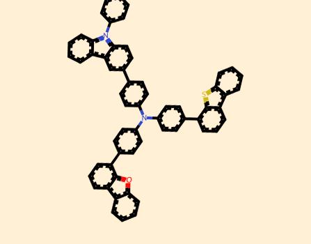 c1ccc(-n2c3ccccc3c3cc(-c4ccc(N(c5ccc(-c6cccc7c6oc6ccccc67)cc5)c5ccc(-c6cccc7c6sc6ccccc67)cc5)cc4)ccc32)cc1